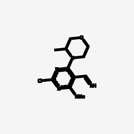 CNc1nc(Cl)nc(N2CCOCC2C)c1C=N